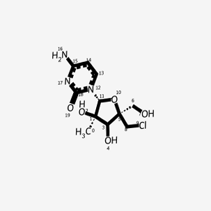 C[C@@]1(O)C(O)[C@](CO)(CCl)O[C@H]1n1ccc(N)nc1=O